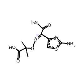 CC(C)(O/N=C(/C([NH])=O)c1csc(N)n1)C(=O)O